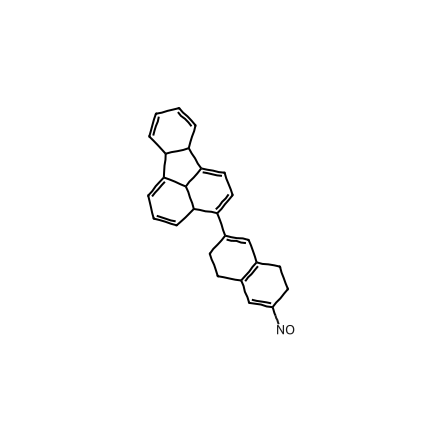 O=NC1=CC2=C(C=C(C3=CC=C4C5C=CC=CC5C5=CC=CC3C54)CC2)CC1